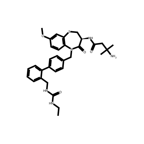 CCNC(=O)NCc1ccccc1-c1ccc(CN2C(=O)[C@H](NC(=O)CC(C)(C)N)CSc3cc(OC)ccc32)cc1